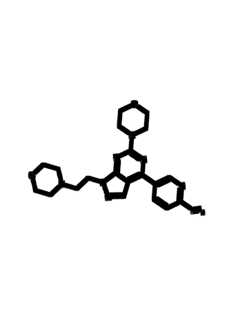 Nc1ccc(-c2nc(N3CCOCC3)nc3c2cnn3CCN2CCOCC2)cn1